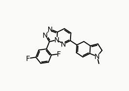 CN1CC=C2CC(c3ccc4nnc(-c5cc(F)ccc5F)n4n3)=CC=C21